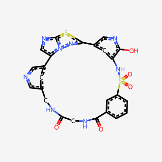 O=C1CNC(=O)c2cccc(c2)S(=O)(=O)Nc2cc(cnc2O)-c2nn3c(cnc3s2)-c2cncc(c2)CN1